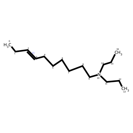 CC/C=C/CCCCCCN(CCC)CCC